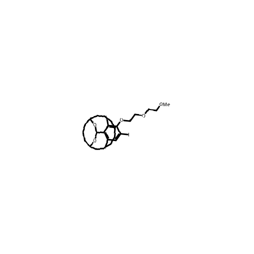 COCCOCCOc1c(I)cc(I)c(C2OC3CCCCCCCCC(CCC3)O2)c1I